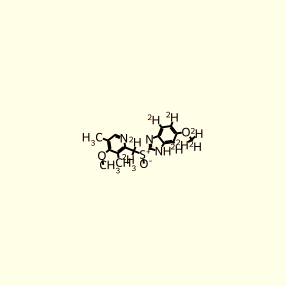 [2H]c1c(OC([2H])([2H])[2H])c([2H])c2[nH]c([S+]([O-])C([2H])([2H])c3ncc(C)c(OC)c3C)nc2c1[2H]